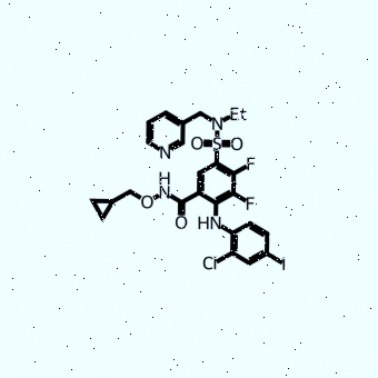 CCN(Cc1cccnc1)S(=O)(=O)c1cc(C(=O)NOCC2CC2)c(Nc2ccc(I)cc2Cl)c(F)c1F